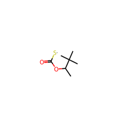 CC(OC(=O)[S])C(C)(C)C